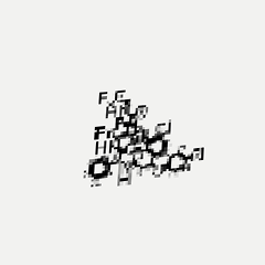 CC(C)[C@H](NC(=O)C(NC(=O)CC(Oc1ccc(Cl)cc1)c1ccc(Cl)c(Cl)c1)c1ccccc1)C(=O)C(F)(F)C(=O)NCC(F)(F)F